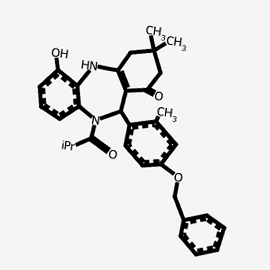 Cc1cc(OCc2ccccc2)ccc1C1C2=C(CC(C)(C)CC2=O)Nc2c(O)cccc2N1C(=O)C(C)C